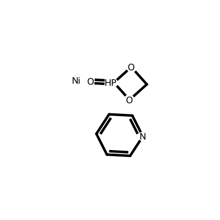 O=[PH]1OCO1.[Ni].c1ccncc1